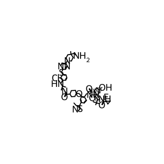 Cc1ncsc1-c1ccc(CNC(=O)[C@@H]2C[C@@H](O)CN2C(=O)[C@@H](NC(=O)C2(F)CC2)C(C)(C)C)c(OC2CCC(C(=O)N3CC(Nc4cccc(Sc5cnc(N6CCC(C)(CN)CC6)cn5)c4Cl)C3)CC2)c1